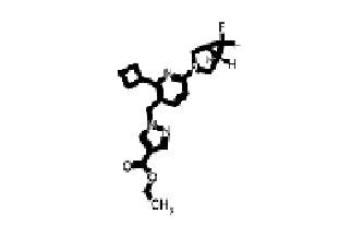 CCOC(=O)c1cnn(Cc2ccc(N3CC4[C@@H](C3)C4(F)F)nc2C2CCC2)c1